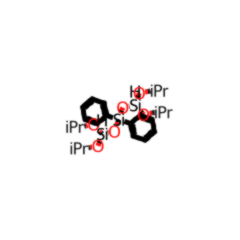 CC(C)O[SiH](OC(C)C)O[Si](O[SiH](OC(C)C)OC(C)C)(c1ccccc1)c1ccccc1